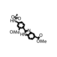 COC(=O)c1ccc2[nH]c(-c3ccc(NS(C)(=O)=O)cc3OC)nc2c1